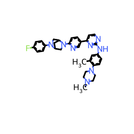 Cc1cc(Nc2nccc(-c3ccc(N4CC5CC4CN5c4ccc(F)cc4)nc3)n2)ccc1N1CCN(C)CC1